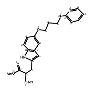 CCCCCCC(Cc1cc2cc(OCCCNc3ccccn3)ccc2[nH]1)C(=O)OC